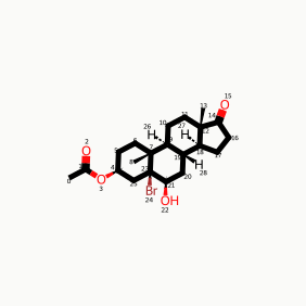 CC(=O)O[C@H]1CC[C@]2(C)[C@H]3CC[C@]4(C)C(=O)CC[C@H]4[C@@H]3C[C@@H](O)[C@]2(Br)C1